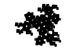 Cc1cc(N(c2ccccc2)c2ccc3c(c2)C(C)(C)c2cc(N(c4ccccc4)c4cc(C)c(C)c(C)c4)cc4c2N3c2ccc(N(c3ccccc3)c3cc(C)c(C)c(C)c3)cc2C4(C)C)cc(C)c1C